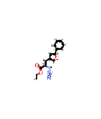 CCOC(=O)/C(=C/c1coc(-c2ccccc2)c1)N=[N+]=[N-]